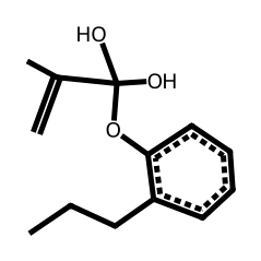 C=C(C)C(O)(O)Oc1ccccc1CCC